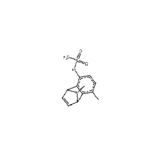 Cc1ccc(OS(=O)(=O)C(F)(F)F)c2c1C1C=CC2N1C